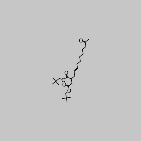 CC(=O)CCCCCC/C=C/CC(CC(=O)OCC(C)(C)C)C(=O)OCC(C)(C)C